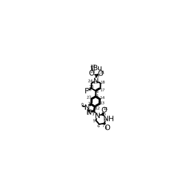 Cn1nc(N2CCC(=O)NC2=O)c2ccc(C3=CCN(C(=O)OC(C)(C)C)CC3F)cc21